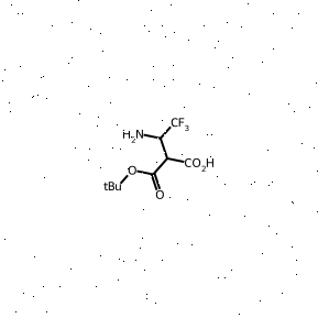 CC(C)(C)OC(=O)C(C(=O)O)C(N)C(F)(F)F